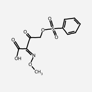 CON=C(C(=O)O)C(=O)COS(=O)(=O)c1ccccc1